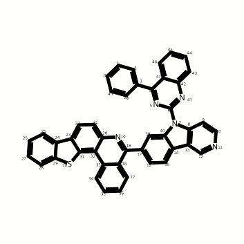 c1ccc(-c2nc(-n3c4ccncc4c4ccc(-c5nc6ccc7c8ccccc8sc7c6c6ccccc56)cc43)nc3ccccc23)cc1